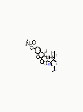 C\C=C/C=C(C(=O)Nc1c(I)c2ccc(OC(=O)N(C)C)cc2oc1=O)\C(N)=C/C